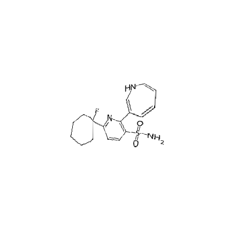 NS(=O)(=O)c1ccc(C2(F)CCCCC2)nc1C1=CNC=CC=C1